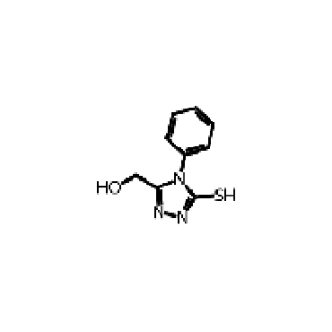 OCc1nnc(S)n1-c1ccccc1